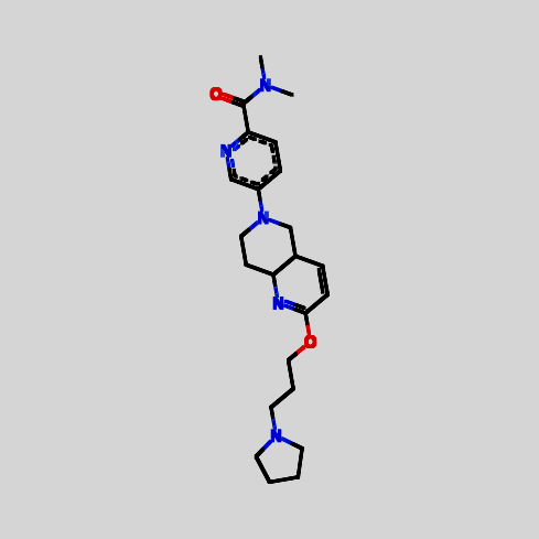 CN(C)C(=O)c1ccc(N2CCC3N=C(OCCCN4CCCC4)C=CC3C2)cn1